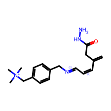 C=C(/C=C\C=N\Cc1ccc(C[N+](C)(C)C)cc1)CC(=O)NN